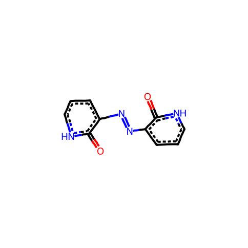 O=c1[nH]cccc1N=Nc1ccc[nH]c1=O